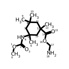 COC(=O)NC1(C)CC(C)(C)CC(C)(C(=O)OCN)C1